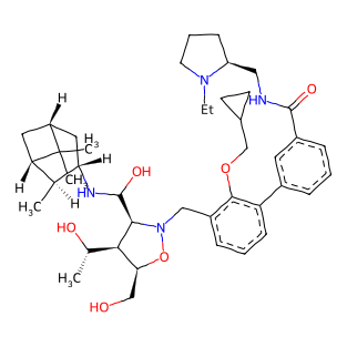 CCN1CCC[C@H]1CNC(=O)c1cccc(-c2cccc(CN3O[C@@H](CO)[C@@H]([C@H](C)O)[C@H]3C(O)N[C@H]3C[C@H]4C[C@@H]([C@@H]3C)C4(C)C)c2OCC2CC2)c1